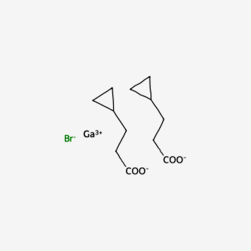 O=C([O-])CCC1CC1.O=C([O-])CCC1CC1.[Br-].[Ga+3]